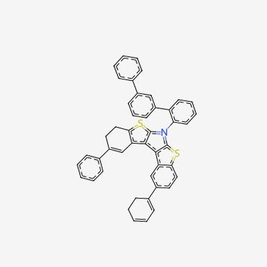 C1=CCCC(c2ccc3sc4c(c3c2)c2c3c(sc2n4-c2ccccc2-c2cccc(-c4ccccc4)c2)CCC(c2ccccc2)=C3)=C1